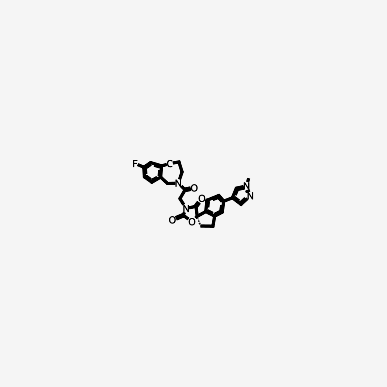 Cn1cc(-c2ccc3c(c2)CC[C@@]32OC(=O)N(CC(=O)N3CCCc4cc(F)ccc4C3)C2=O)cn1